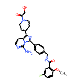 COc1ccc(F)cc1C(=O)NCc1ccc(-c2nc(C3CCN(C(=O)CO)CC3)c3ccnc(N)n23)cc1